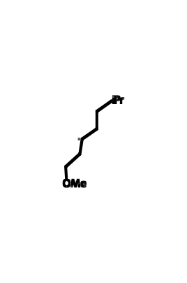 COCC[CH]CCC(C)C